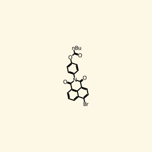 CCCCC(=O)Oc1ccc(N2C(=O)c3cccc4c(Br)ccc(c34)C2=O)cc1